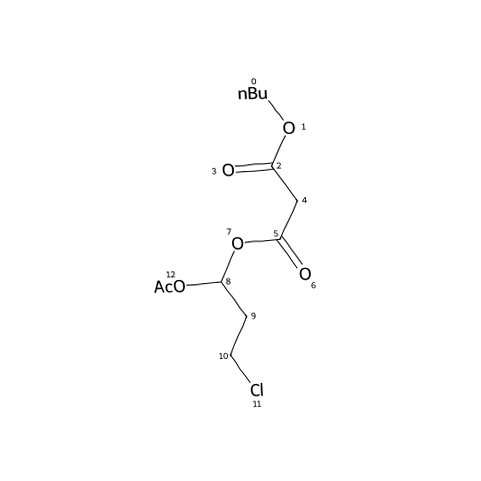 CCCCOC(=O)CC(=O)OC(CCCl)OC(C)=O